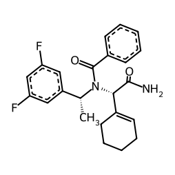 C[C@H](c1cc(F)cc(F)c1)N(C(=O)c1ccccc1)[C@H](C(N)=O)C1=CCCCC1